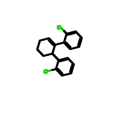 Clc1ccccc1C1=CCCCC1c1ccccc1Cl